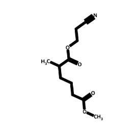 COC(=O)CCCC(C)C(=O)OCCC#N